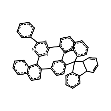 C1=CC2c3ccccc3C3(c4ccccc4Oc4cc(-c5ccc6ccccc6c5-c5nc(-c6ccccc6)nc(-c6ccccc6)n5)ccc43)C2C=C1